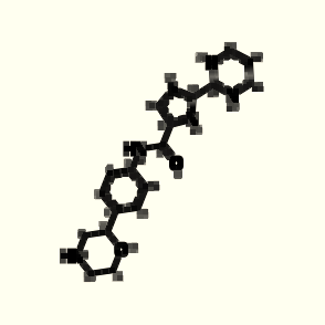 O=C(Nc1ccc(C2CNCCO2)cc1)c1csc(-c2ncccn2)n1